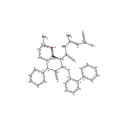 NCCC[C@@H](C(=O)NC(N)=N[N+](=O)[O-])N(Cc1ccccc1-c1ccccc1)C(=O)C(c1ccccc1)c1ccccc1